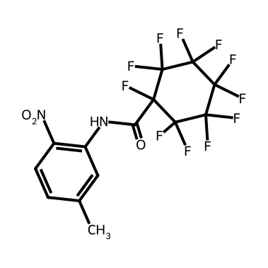 Cc1ccc([N+](=O)[O-])c(NC(=O)C2(F)C(F)(F)C(F)(F)C(F)(F)C(F)(F)C2(F)F)c1